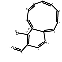 O=Cc1cnc2ccccccccc2c1Cl